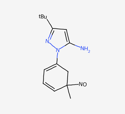 CC1(N=O)C=CC=C(n2nc(C(C)(C)C)cc2N)C1